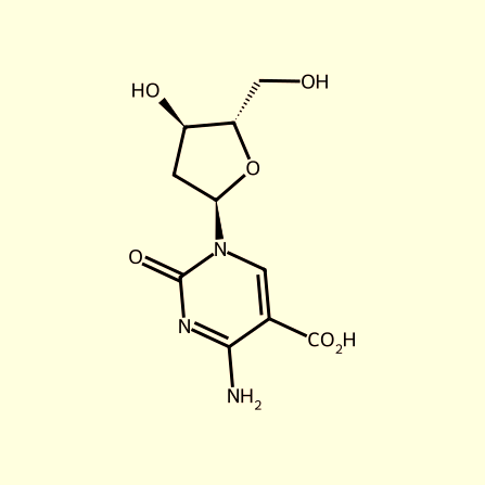 Nc1nc(=O)n([C@H]2C[C@@H](O)[C@H](CO)O2)cc1C(=O)O